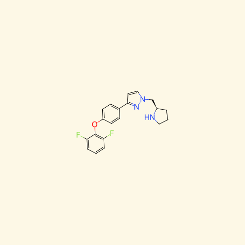 Fc1cccc(F)c1Oc1ccc(-c2ccn(C[C@H]3CCCN3)n2)cc1